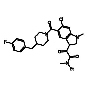 CCN(C)C(=O)C(=O)C1CN(C)c2cc(Cl)c(C(=O)N3CCC(Cc4ccc(F)cc4)CC3)cc21